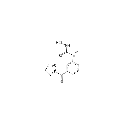 C[C@@H](C(=O)NO)c1cccc(C(=O)c2nccs2)c1